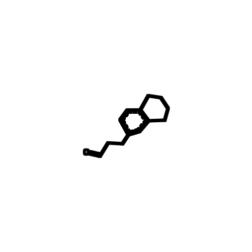 O=CCCc1ccc2c(c1)CCCC2